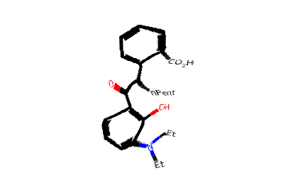 CCCCCC(C(=O)c1cccc(N(CC)CC)c1O)c1ccccc1C(=O)O